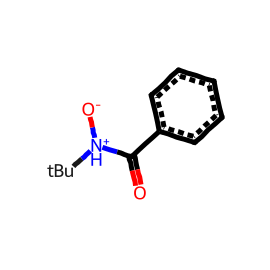 CC(C)(C)[NH+]([O-])C(=O)c1ccccc1